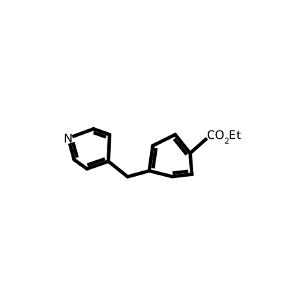 CCOC(=O)c1ccc(Cc2ccncc2)cc1